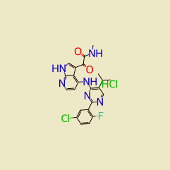 CNC(=O)C(=O)c1c[nH]c2nccc(Nc3nc(-c4cc(Cl)ccc4F)ncc3C(C)C)c12.Cl